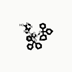 Oc1ncnc2c1ncn2[C@@H]1O[C@H](COC(c2ccccc2)(c2ccccc2)c2ccccc2)[C@@H](OC(c2ccccc2)(c2ccccc2)c2ccccc2)[C@H]1O